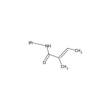 CC=C(C)C(=O)NC(C)C